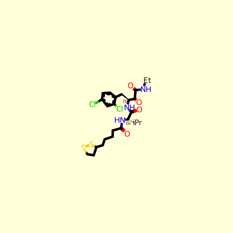 CCNC(=O)C(=O)[C@H](Cc1ccc(Cl)cc1Cl)NC(=O)[C@@H](NC(=O)CCCCC1CCSS1)C(C)C